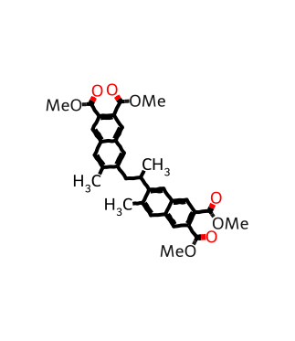 COC(=O)c1cc2cc(C)c(CC(C)c3cc4cc(C(=O)OC)c(C(=O)OC)cc4cc3C)cc2cc1C(=O)OC